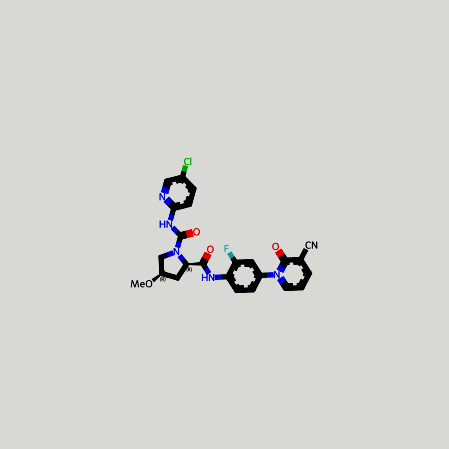 CO[C@@H]1C[C@H](C(=O)Nc2ccc(-n3cccc(C#N)c3=O)cc2F)N(C(=O)Nc2ccc(Cl)cn2)C1